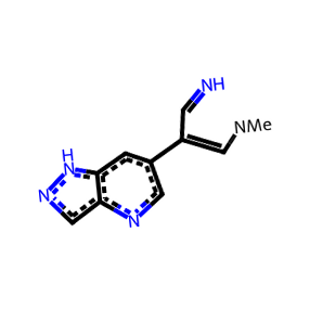 CN/C=C(\C=N)c1cnc2cn[nH]c2c1